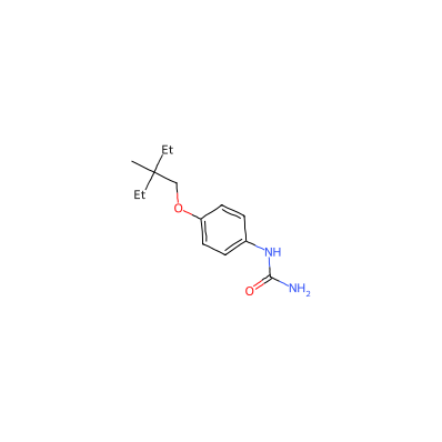 CCC(C)(CC)COc1ccc(NC(N)=O)cc1